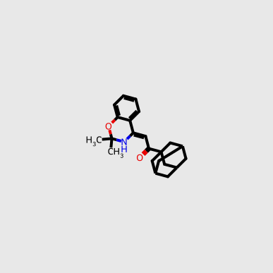 CC1(C)N/C(=C\C(=O)C23CC4CC(CC(C4)C2)C3)c2ccccc2O1